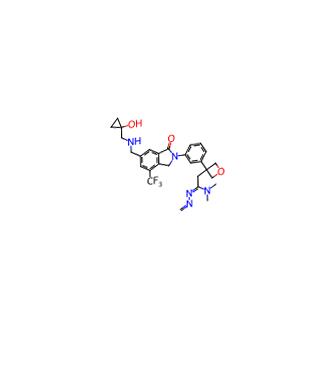 C=N/N=C(/CC1(c2cccc(N3Cc4c(cc(CNCC5(O)CC5)cc4C(F)(F)F)C3=O)c2)COC1)N(C)C